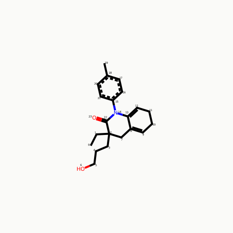 CCC1(CCCO)CC2=CCCC=C2N(c2ccc(C)cc2)C1=O